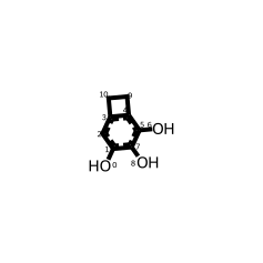 Oc1cc2c(c(O)c1O)CC2